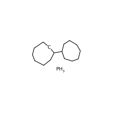 C1CCCC(C2CCCCCCC2)CCC1.P